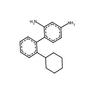 Nc1ccc(-c2ccccc2C2CCCCC2)c(N)c1